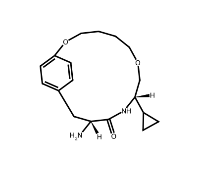 N[C@@H]1Cc2ccc(cc2)OCCCCOC[C@H](C2CC2)NC1=O